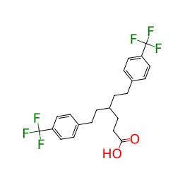 O=C(O)CCC(CCc1ccc(C(F)(F)F)cc1)CCc1ccc(C(F)(F)F)cc1